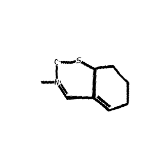 C[N+]1=CC2=CCCCC2S[CH-]1